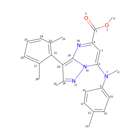 COC(=O)c1cc(N(C)c2ccc(C)cc2)n2nc(C)c(-c3c(C)cccc3C)c2n1